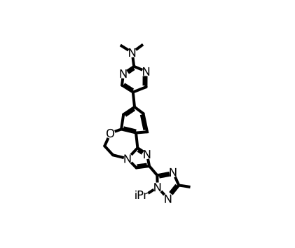 Cc1nc(-c2cn3c(n2)-c2ccc(-c4cnc(N(C)C)nc4)cc2OCC3)n(C(C)C)n1